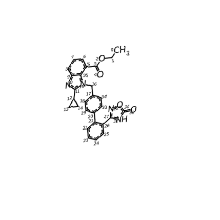 CCOC(=O)c1cccc2nc(C3CC3)n(Cc3ccc(-c4ccccc4-c4noc(=O)[nH]4)cc3)c12